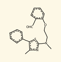 Cc1nc(N(C)CCOc2ccccc2C=O)sc1-c1ccccc1